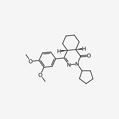 COc1ccc(C2=NN(C3CCCC3)C(=O)[C@H]3CCCC[C@@H]23)cc1OC